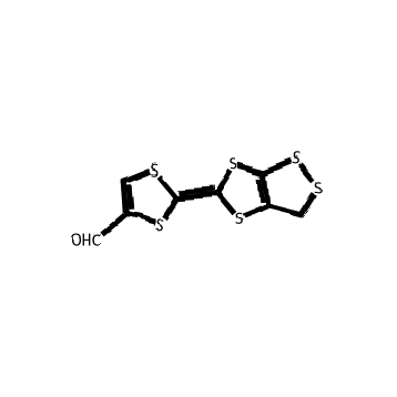 O=CC1=CS/C(=C2/SC3=C(SSC3)S2)S1